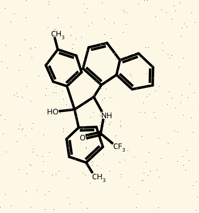 Cc1ccc(C(O)(c2ccc(C)cc2)C(NC(=O)C(F)(F)F)c2cccc3ccccc23)cc1